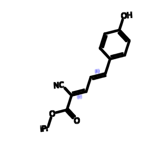 CC(C)OC(=O)/C(C#N)=C/C=C/c1ccc(O)cc1